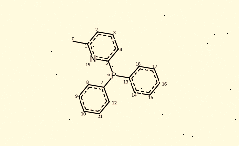 Cc1cccc(P(c2ccccc2)c2ccccc2)n1